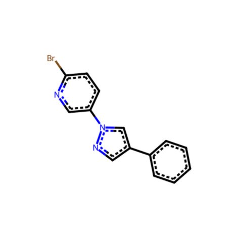 Brc1ccc(-n2cc(-c3ccccc3)cn2)cn1